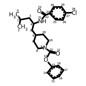 CC(C)CC(CC1CCN(C(=O)Oc2ccccc2)CC1)NC(=O)c1ccc(Cl)cc1